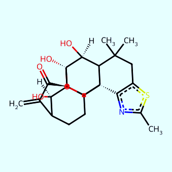 C=C1C(=O)[C@@]23C(CCC1[C@H]2O)[C@@]12CO[C@@]3(O)[C@@H](O)C1C(C)(C)Cc1sc(C)nc12